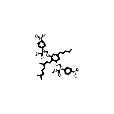 CCCCCc1cc(OCN(C(=O)OC)c2ccc([N+](=O)[O-])cc2)c(CC=C(C)CCC=C(C)C)c(OCN(C(=O)OC)c2ccc([N+](=O)[O-])cc2)c1